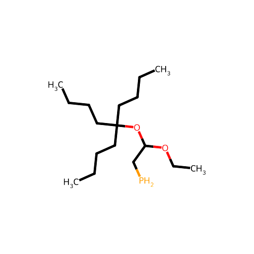 CCCCC(CCCC)(CCCC)OC(CP)OCC